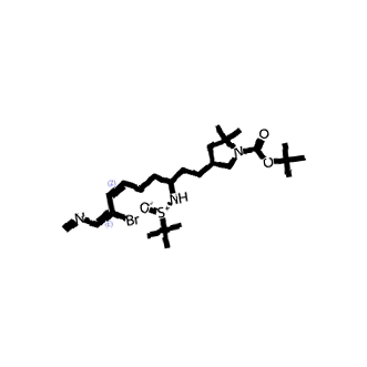 C=N/C=C(Br)\C=C/CCC(CCC1CN(C(=O)OC(C)(C)C)C(C)(C)C1)N[S+]([O-])C(C)(C)C